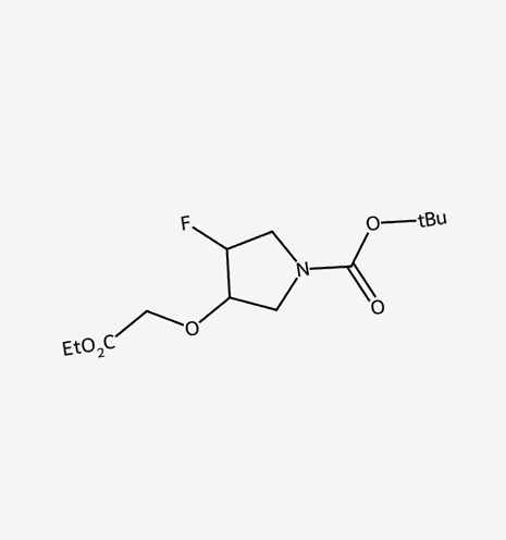 CCOC(=O)COC1CN(C(=O)OC(C)(C)C)CC1F